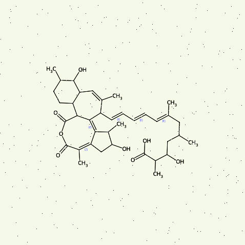 CC1=CC2C(O)C(C)CCC2C2C(=O)OC(=O)/C(C)=C3/CC(O)C(C)/C3=C/2C1/C=C/C=C/C=C(\C)CC(C)CC(O)C(C)C(=O)O